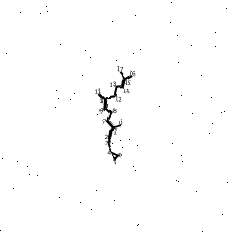 CC(=C=CC1CC1)CCC=C(C)CCC=C(C)C